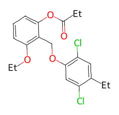 CCOc1cccc(OC(=O)CC)c1COc1cc(Cl)c(CC)cc1Cl